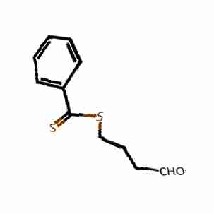 O=[C]CCCSC(=S)c1ccccc1